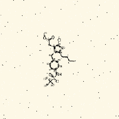 CCCCc1nc(Cl)c(CC(=O)OC)n1Cc1ccc(NS(=O)(=O)C(F)(F)F)cc1